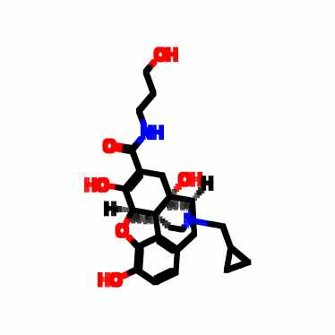 O=C(NCCCO)C1=C(O)[C@@H]2Oc3c(O)ccc4c3[C@@]23CCN(CC2CC2)[C@H](C4)[C@]3(O)C1